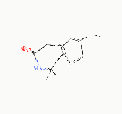 CCc1ccc2c(c1)CC(=O)NC2(C)C